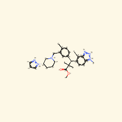 COC(=O)C(C)(C)[C@@H](c1ccc(C)c(CN2CCC[C@H](n3cccn3)C2)c1)c1ccc2c(nnn2C)c1C